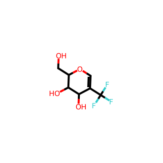 OCC1OC=C(C(F)(F)F)C(O)C1O